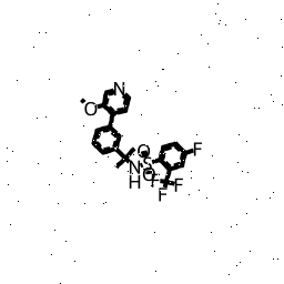 COc1cnccc1-c1cccc(C(C)(C)NS(=O)(=O)c2ccc(F)cc2C(F)(F)F)c1